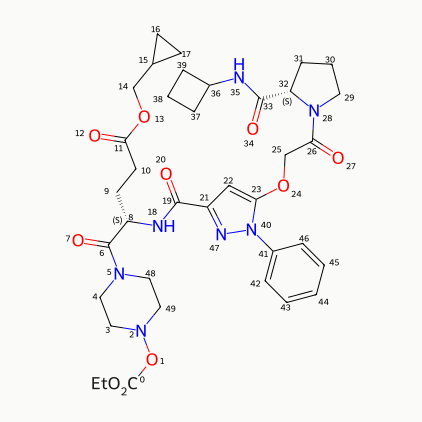 CCOC(=O)ON1CCN(C(=O)[C@H](CCC(=O)OCC2CC2)NC(=O)c2cc(OCC(=O)N3CCC[C@H]3C(=O)NC3CCC3)n(-c3ccccc3)n2)CC1